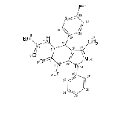 CCN1C(=O)C(NC(=O)C(C)(C)C)C(c2ccc(F)cc2)c2c(C)nn(-c3ccccc3)c21